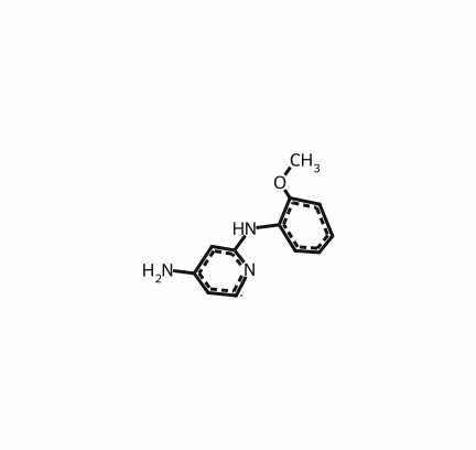 COc1ccccc1Nc1cc(N)c[c]n1